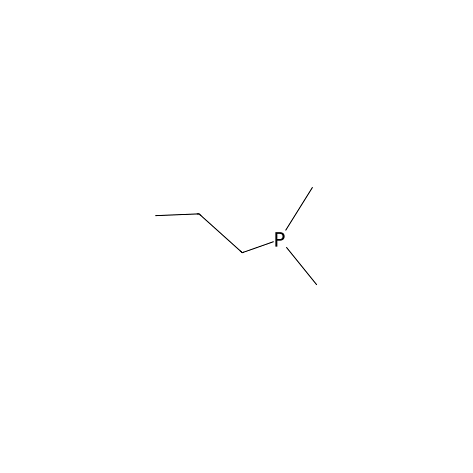 CCCP(C)C